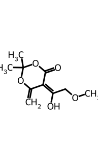 C=C1OC(C)(C)OC(=O)/C1=C(/O)COC